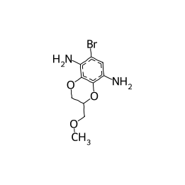 COCC1COc2c(N)c(Br)cc(N)c2O1